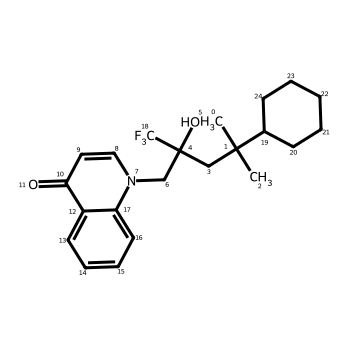 CC(C)(CC(O)(Cn1ccc(=O)c2ccccc21)C(F)(F)F)C1CCCCC1